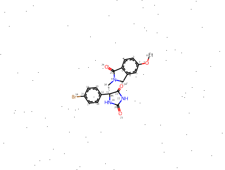 CCOc1ccc2c(c1)CN(C[C@@]1(c3ccc(Br)cc3)NC(=O)NC1=O)C2=O